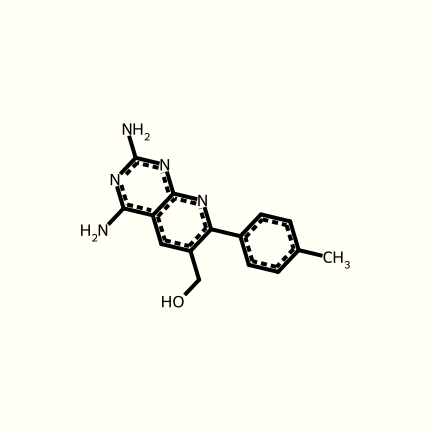 Cc1ccc(-c2nc3nc(N)nc(N)c3cc2CO)cc1